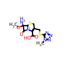 CO[C@@]1(N)C(=O)N2C(C(=O)O)=C(CSc3nnnn3C)CSC21